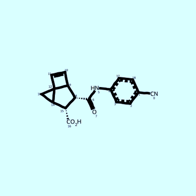 N#Cc1ccc(NC(=O)[C@H]2C3C=CC34CC4[C@H]2C(=O)O)cc1